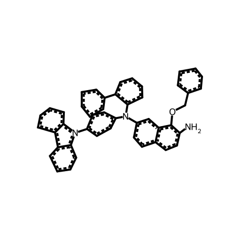 Nc1ccc2ccc(N(c3ccc(-n4c5ccccc5c5ccccc54)cc3)c3ccccc3-c3ccccc3)cc2c1OCc1ccccc1